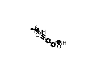 C#Cc1nc(NC(=O)N2CCN(c3ccc(-c4cccc(N5CCNC5=O)c4)cc3)CC2)cs1